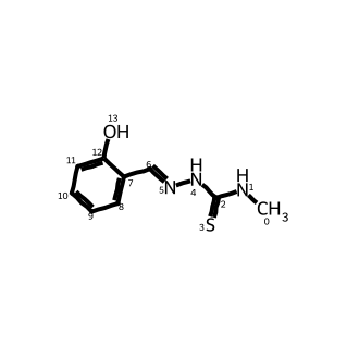 CNC(=S)NN=Cc1ccccc1O